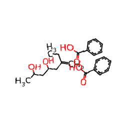 C=C(CC)CC(O)CC(C)O.O=C(O)c1ccccc1.O=C(O)c1ccccc1